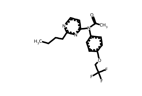 CCCCc1nccc(N(C(C)=O)c2ccc(OCC(F)(F)F)cc2)n1